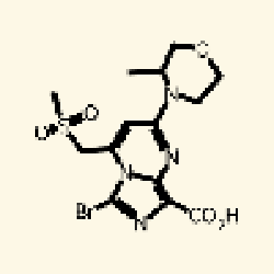 CC1COCCN1c1cc(CS(C)(=O)=O)n2c(Br)nc(C(=O)O)c2n1